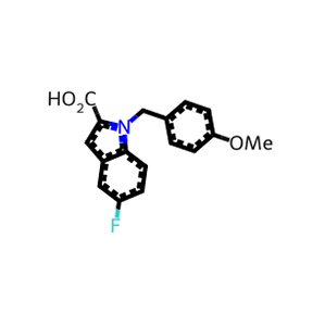 COc1ccc(Cn2c(C(=O)O)cc3cc(F)ccc32)cc1